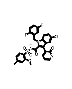 COc1cc(C)ccc1S(=O)(=O)NC(=O)c1c(-c2ccc[nH]c2=O)c2cc(Cl)ccc2n1Cc1cc(F)ccc1F